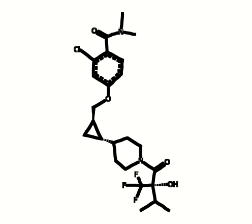 CC(C)[C@](O)(C(=O)N1CCC([C@@H]2C[C@H]2COc2ccc(C(=O)N(C)C)c(Cl)c2)CC1)C(F)(F)F